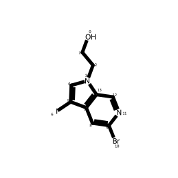 OCCn1cc(I)c2cc(Br)ncc21